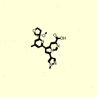 CO[C@@]1(c2cc(C)cc(-c3cc(-c4cnn(C)c4)n4cnc(C(=O)O)cc34)n2)CCOC1